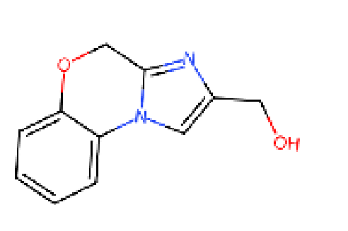 OCc1cn2c(n1)COc1ccccc1-2